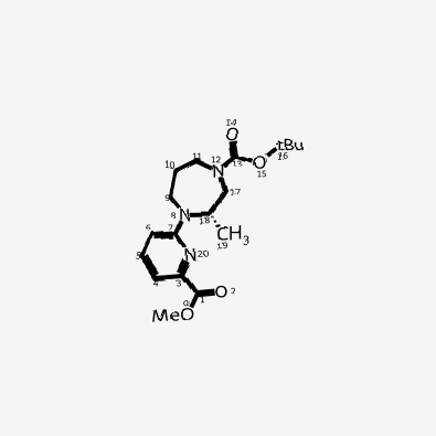 COC(=O)c1cccc(N2CCCN(C(=O)OC(C)(C)C)C[C@@H]2C)n1